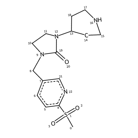 CS(=O)(=O)c1ccc(CN2CCN(C3CCNCC3)C2=O)cn1